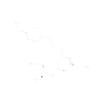 CCSc1ccc(CCOc2cc(O[C@@H](C)COC)cc(C(=O)O)c2)cc1